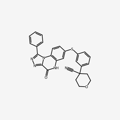 N#CC1(c2cccc(Sc3ccc4c(c3)[nH]c(=O)c3nnc(-c5ccccc5)n34)c2)CCOCC1